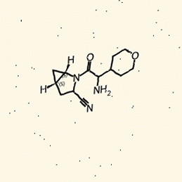 N#CC1C[C@@H]2C[C@@H]2N1C(=O)C(N)C1CCOCC1